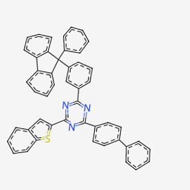 c1ccc(-c2ccc(-c3nc(-c4cccc(C5(c6ccccc6)c6ccccc6-c6ccccc65)c4)nc(-c4cc5ccccc5s4)n3)cc2)cc1